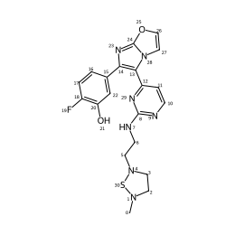 CN1CCN(CCNc2nccc(-c3c(-c4ccc(F)c(O)c4)nc4occn34)n2)S1